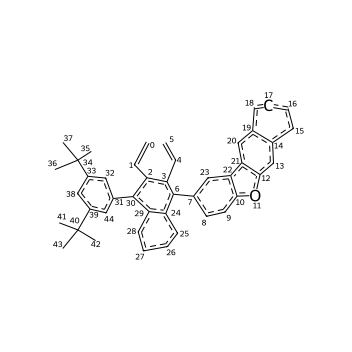 C=Cc1c(C=C)c(-c2ccc3oc4cc5ccccc5cc4c3c2)c2ccccc2c1-c1cc(C(C)(C)C)cc(C(C)(C)C)c1